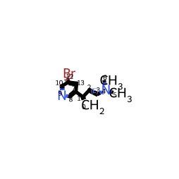 C=C(/C=C/N(C)C)c1cncc(Br)c1